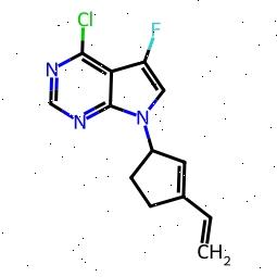 C=CC1=CC(n2cc(F)c3c(Cl)ncnc32)CC1